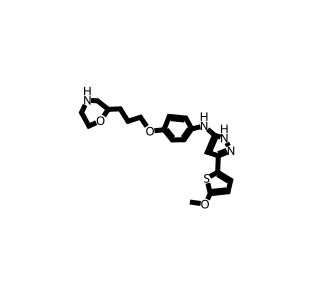 COc1ccc(-c2cc(Nc3ccc(OCCCC4CNCCO4)cc3)[nH]n2)s1